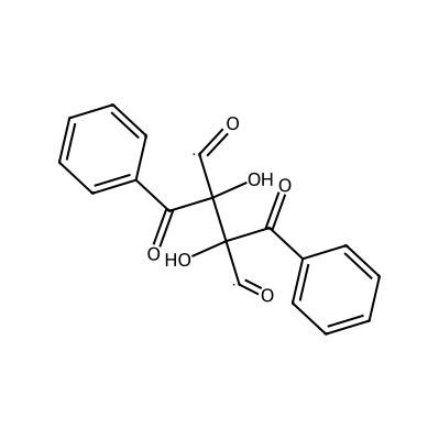 O=[C]C(O)(C(=O)c1ccccc1)C(O)([C]=O)C(=O)c1ccccc1